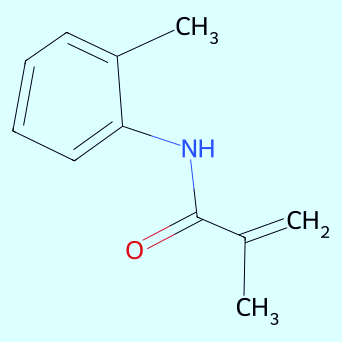 C=C(C)C(=O)Nc1ccccc1C